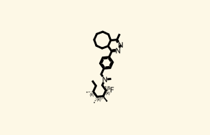 CC[C@@H](C)[C@@H](C)[C@H](C)[C@@H]([18F])CN(C)Cc1ccc(C2=NN=C(C)C3CCCCCCC23)cc1